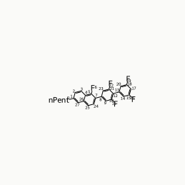 CCCCCc1ccc2c(F)c(-c3cc(F)c(-c4cc(F)cc(F)c4)c(F)c3)ccc2c1